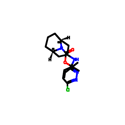 CC(C)(C)OC(=O)N1[C@@H]2CCC[C@H]1CC(Nc1ccc(Cl)nn1)C2